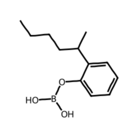 CCCCC(C)c1ccccc1OB(O)O